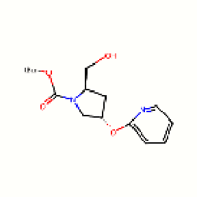 CC(C)(C)OC(=O)N1C[C@@H](Oc2ccccn2)C[C@@H]1CO